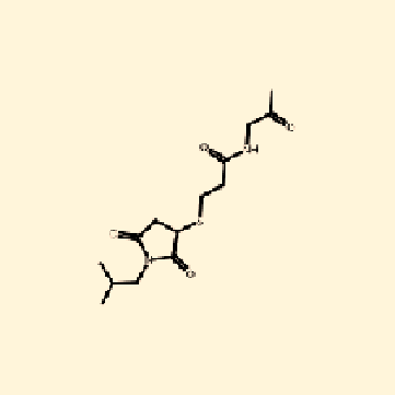 CC(=O)CNC(=O)CCSC1CC(=O)N(CC(C)C)C1=O